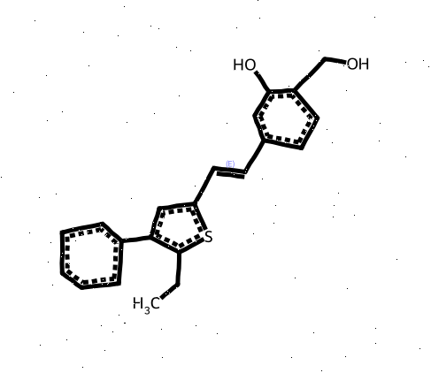 CCc1sc(/C=C/c2ccc(CO)c(O)c2)cc1-c1ccccc1